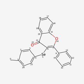 Cc1ccc([Se]c2c(-c3ccccc3)oc3ccccc3c2=O)cc1